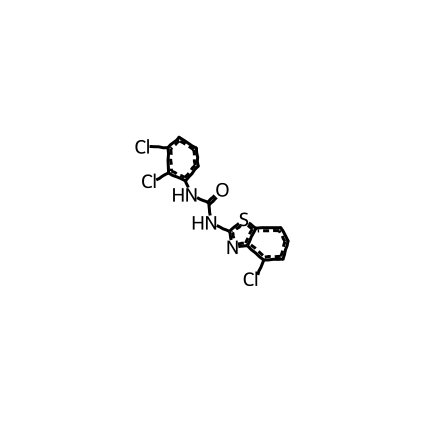 O=C(Nc1nc2c(Cl)cccc2s1)Nc1cccc(Cl)c1Cl